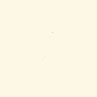 CC12C=C(C#N)C(=O)CC1CCc1c2nc(CCOCc2ccccc2)n1-c1ccccc1